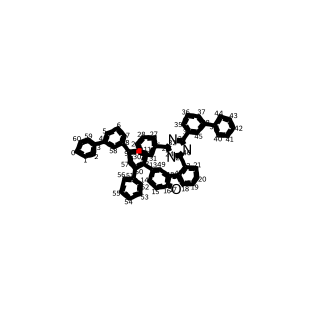 c1ccc(-c2cccc(-c3ccc(-c4ccc5oc6cccc(-c7nc(-c8ccccc8)nc(-c8cccc(-c9ccccc9)c8)n7)c6c5c4)c(-c4ccccc4)c3)c2)cc1